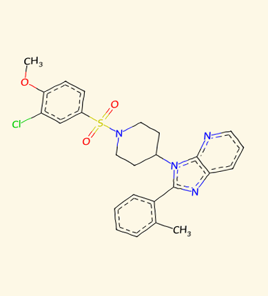 COc1ccc(S(=O)(=O)N2CCC(n3c(-c4ccccc4C)nc4cccnc43)CC2)cc1Cl